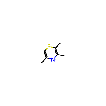 CC1=CSC(C)=C(C)[N]1